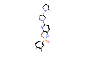 Cc1nc(N2CC[C@H](N3CCC[C@@H]3C)C2)ccc1NS(=O)(=O)c1ccc(F)c(I)c1